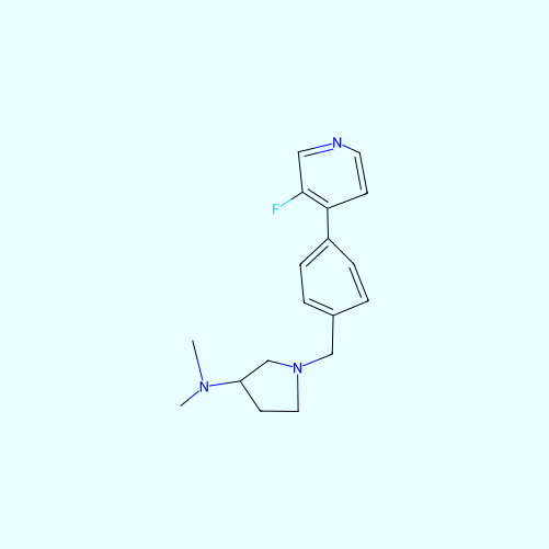 CN(C)C1CCN(Cc2ccc(-c3ccncc3F)cc2)C1